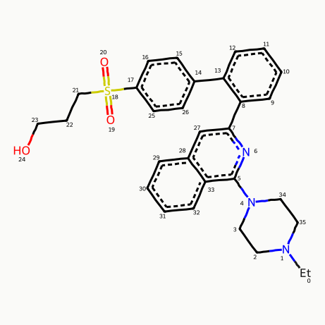 CCN1CCN(c2nc(-c3ccccc3-c3ccc(S(=O)(=O)CCCO)cc3)cc3ccccc23)CC1